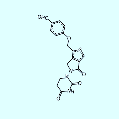 O=Cc1ccc(OCc2scc3c2CN([C@H]2CCC(=O)NC2=O)C3=O)cc1